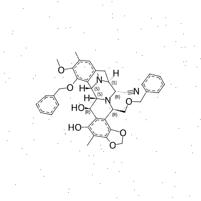 COc1c(C)cc2c(c1OCc1ccccc1)[C@H]1[C@H]3[C@H](O)c4c(O)c(C)c5c(c4[C@H](COCc4ccccc4)N3[C@@H](C#N)[C@H](C2)N1C)OCO5